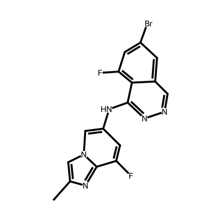 Cc1cn2cc(Nc3nncc4cc(Br)cc(F)c34)cc(F)c2n1